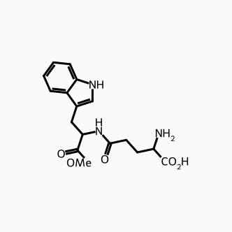 COC(=O)C(Cc1c[nH]c2ccccc12)NC(=O)CCC(N)C(=O)O